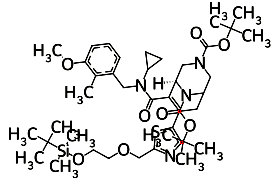 COc1cccc(CN(C(=O)C2=C(c3cnc(COCCO[Si](C)(C)C(C)(C)C)s3)CC3CN(C(=O)OC(C)(C)C)C[C@H]2N3C(=O)OC(C)(C)C)C2CC2)c1C